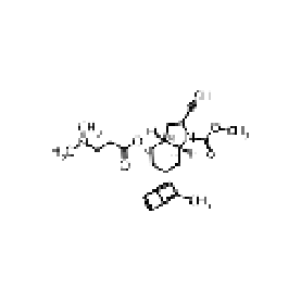 C#CC1C[C@H]2[C@@H](OC(=O)CCN(C)C)CCC[C@H]2N1C(=O)OC.Cc1cc2ccc1-2